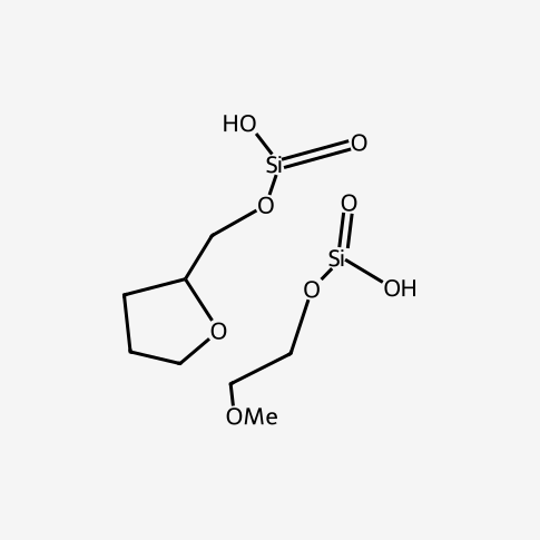 COCCO[Si](=O)O.O=[Si](O)OCC1CCCO1